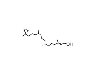 C/C(=C\CO)CCC[C@H](C)CCC[C@H](C)CCC[CH](C)[Ce]